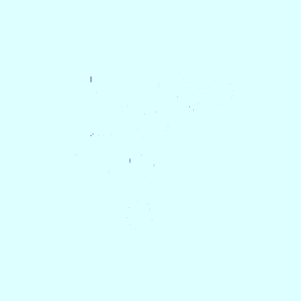 C[Si](C)=[Zr]([CH]1C(C2CC2)=Cc2c(-c3ccccc3)cccc21)[CH]1C(C2CC2)=Cc2c(-c3cccc4c3[nH]c3ccccc34)cccc21.Cl.Cl